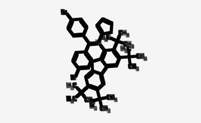 CC(C)(C)c1cc2c(cc1C(C)(C)C)-c1cc(C(C)(C)C)c(C(C)(C)C)[c]([Zr]([C]3=CC=CC3)=[C](c3ccc(Br)cc3)c3ccc(Br)cc3)c1C2